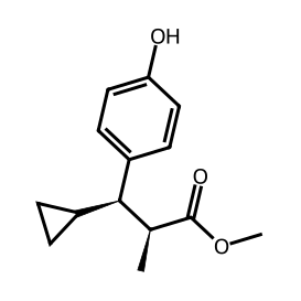 COC(=O)[C@@H](C)[C@H](c1ccc(O)cc1)C1CC1